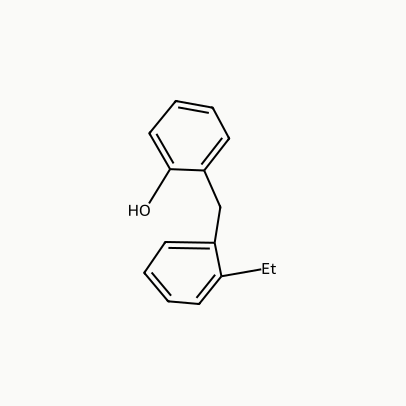 CCc1ccccc1Cc1ccccc1O